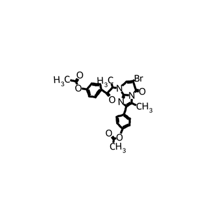 CC(=O)Oc1ccc(C(=O)C(C)n2cc(Br)c(=O)n3c(C)c(-c4ccc(OC(C)=O)cc4)nc23)cc1